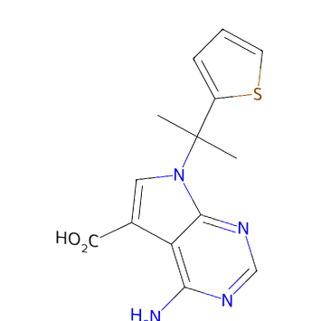 CC(C)(c1cccs1)n1cc(C(=O)O)c2c(N)ncnc21